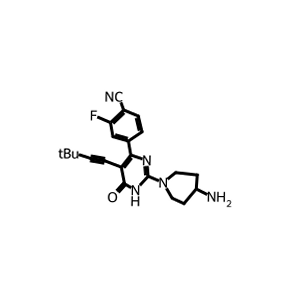 CC(C)(C)C#Cc1c(-c2ccc(C#N)c(F)c2)nc(N2CCC(N)CC2)[nH]c1=O